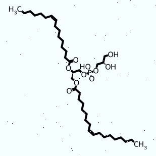 CCCCCC/C=C\CCCCCCCC(=O)O[C@H](COC(=O)CCCCCCC/C=C\CCCCCCCC)COP(=O)(O)OC[C@@H](O)CO